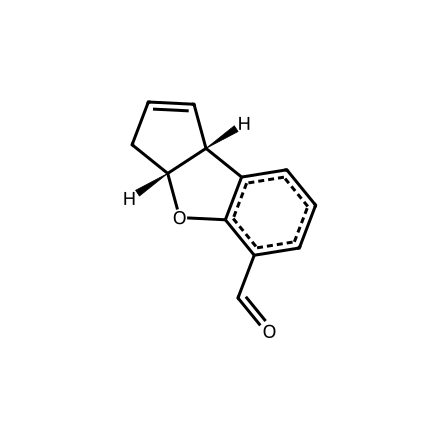 O=Cc1cccc2c1O[C@@H]1CC=C[C@H]21